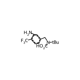 CC(C)(C)N(Cc1ccc(C(F)(F)F)c(N)c1)C(=O)O